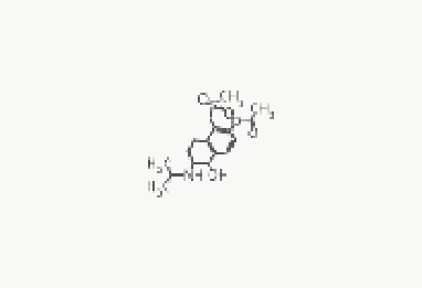 CC(=O)Oc1ccc2c(c1CS(C)(=O)=O)CCC(NC(C)C)C2O